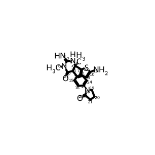 CN1C(=N)N[C@](C)(c2ccc(N)s2)C(c2ccc(N3CCCC3=O)cc2)C1=O